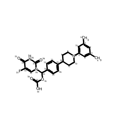 Cc1cc(C)cc(N2CCC(c3ccc(C(OC(=O)O)n4cc(F)c(=O)[nH]c4=O)cc3)CC2)c1